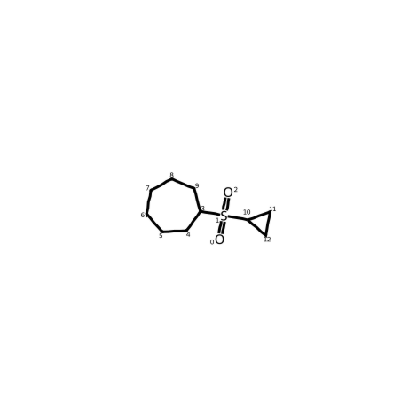 O=S(=O)(C1CC[CH]CCC1)C1CC1